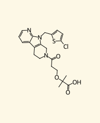 CC(C)(OCCC(=O)N1CCc2c(n(Cc3ccc(Cl)s3)c3ncccc23)C1)C(=O)O